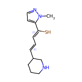 Cn1nccc1/C(S)=C/C=C/C1CCCNC1